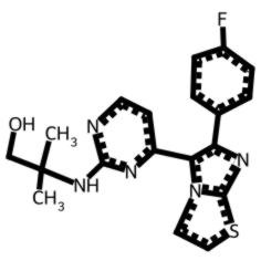 CC(C)(CO)Nc1nccc(-c2c(-c3ccc(F)cc3)nc3sccn23)n1